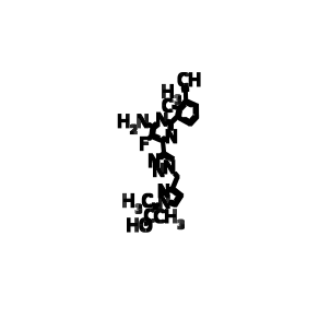 C#Cc1cccc(-c2nc(N)c(F)c(-c3cn(Cc4ccn(C(C)(C)CO)n4)nn3)n2)c1C